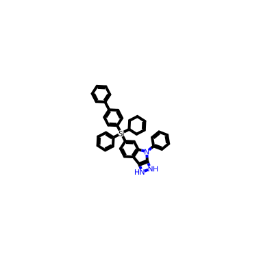 C1=CCC([Si](c2ccccc2)(c2ccc(-c3ccccc3)cc2)c2ccc3c4[nH][nH]c4n(-c4ccccc4)c3c2)CC1